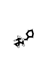 O=C(OCC1CCCCC1)C1(C(F)(F)F)CO1